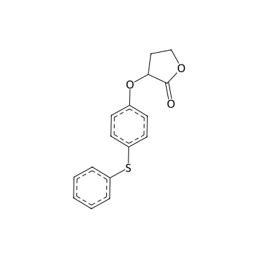 O=C1OCCC1Oc1ccc(Sc2ccccc2)cc1